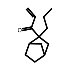 C=CC(=O)C1(CCC)CC2CCC1C2